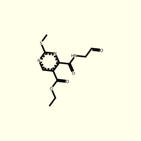 CCOC(=O)c1cnc(SC)nc1C(=O)NCC=O